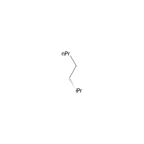 [CH2][C@@H](C)CCCCC